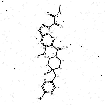 COC(=O)C(=O)c1ncc2nc(OC)c(C(=O)N3CCC(F)(Cc4ccc(F)cc4)CC3)nn12